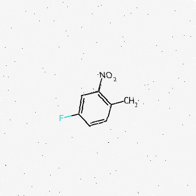 [CH2]c1ccc(F)cc1[N+](=O)[O-]